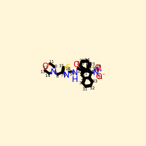 CC1(C(=O)Nc2nc(CN3CCOCC3)cs2)CC2([N+](=O)[O-])c3ccccc3C1c1ccccc12